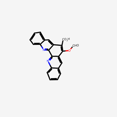 O=COc1c(C(=O)O)c2cc3ccccc3nc2c2nc3ccccc3cc12